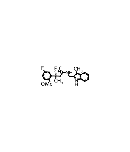 COc1ccc(F)cc1C(C)(C)CC(NCc1[nH]c2ccccc2c1C)C(F)(F)F